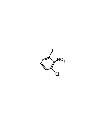 O=[N+]([O-])c1c(Cl)cccc1I